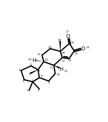 CC1(C)CCC[C@@]2(C)C1CC[C@H]1C3=CC(=O)C(=O)[C@@]3(C)CC[C@@H]12